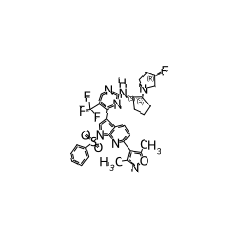 Cc1noc(C)c1-c1ccc2c(-c3nc(N[C@H]4CCC[C@@H]4N4CC[C@@H](F)C4)ncc3C(F)(F)F)cn(S(=O)(=O)c3ccccc3)c2n1